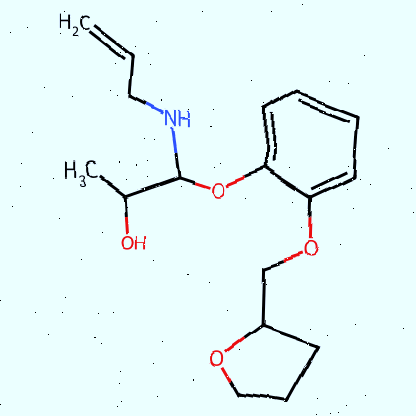 C=CCNC(Oc1ccccc1OCC1CCCO1)C(C)O